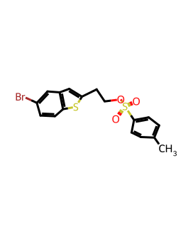 Cc1ccc(S(=O)(=O)OCCc2cc3cc(Br)ccc3s2)cc1